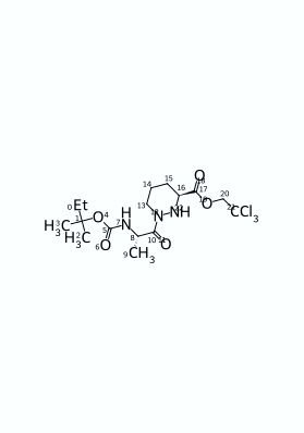 CCC(C)(C)OC(=O)N[C@@H](C)C(=O)N1CCC[C@@H](C(=O)OCC(Cl)(Cl)Cl)N1